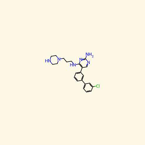 Nc1ncc(-c2cccc(-c3cccc(Cl)c3)c2)c(NCCCN2CCNCC2)n1